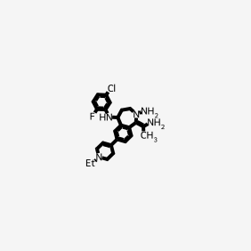 CCN1CC=C(c2ccc3c(c2)C(Nc2cc(Cl)ccc2F)CCN(N)/C3=C(/C)N)CC1